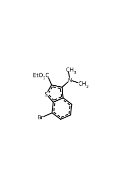 CCOC(=O)c1sc2c(Br)cccc2c1N(C)C